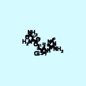 Cc1ncc(C[n+]2csc(CCOC(=O)[C@@H](N)CC(N)=O)c2C)c(N)n1.[Cl-]